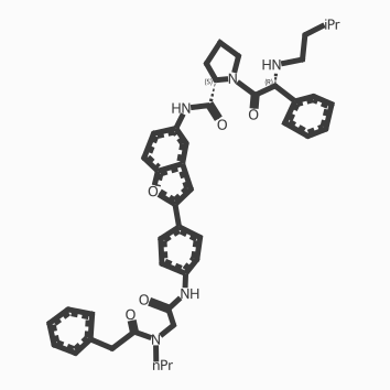 CCCN(CC(=O)Nc1ccc(-c2cc3cc(NC(=O)[C@@H]4CCCN4C(=O)[C@H](NCCC(C)C)c4ccccc4)ccc3o2)cc1)C(=O)Cc1ccccc1